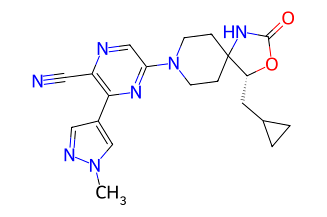 Cn1cc(-c2nc(N3CCC4(CC3)NC(=O)O[C@@H]4CC3CC3)cnc2C#N)cn1